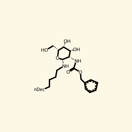 CCCCCCCCCCCCCCN[C@@H]1O[C@H](CO)[C@H](O)[C@H](O)[C@@H]1NC(=O)OCc1ccccc1